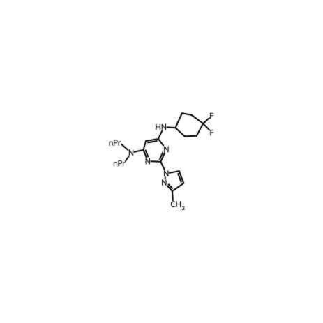 CCCN(CCC)c1cc(NC2CCC(F)(F)CC2)nc(-n2ccc(C)n2)n1